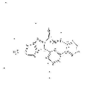 NC(=O)c1cc2cc(N)ccc2n1-c1cccc(-c2ccccc2C(F)(F)F)c1